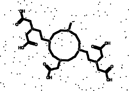 CN1CCN(CCN(CC(=O)O)CC(=O)O)CCN(CC(=O)O)CCN(CCN(CC(=O)O)CC(=O)O)CC1